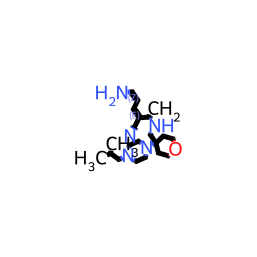 C=C(NCC1(N2CCN(CC(C)C)CC2)CCOCC1)/C(C#N)=C\C=C/N